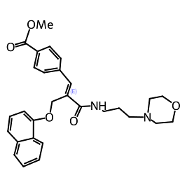 COC(=O)c1ccc(/C=C(\COc2cccc3ccccc23)C(=O)NCCCN2CCOCC2)cc1